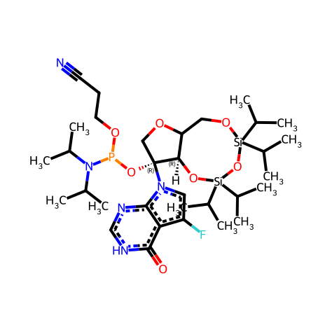 CC(C)N(C(C)C)P(OCCC#N)O[C@]1(n2cc(F)c3c(=O)[nH]cnc32)COC2CO[Si](C(C)C)(C(C)C)O[Si](C(C)C)(C(C)C)O[C@H]21